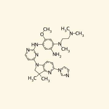 COc1cc(N(C)CCN(C)C)c(N)cc1Nc1nccc(N2CC(C)(C)c3nc(-n4ccnc4)ccc32)n1